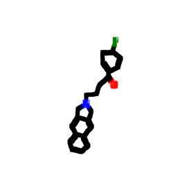 O=C(CCCN1Cc2cc3ccccc3cc2C1)c1ccc(F)cc1